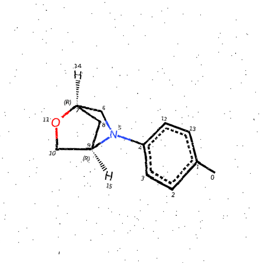 Cc1ccc(N2C[C@H]3C[C@@H]2CO3)cc1